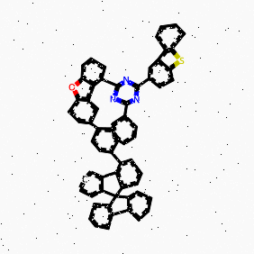 c1ccc(-c2nc(-c3ccc4sc5ccccc5c4c3)nc(-c3cccc4oc5ccc(-c6ccc(-c7cccc8c7-c7ccccc7C87c8ccccc8-c8ccccc87)cc6)cc5c34)n2)cc1